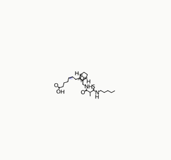 CCCCCNC(=S)C(C)C(=O)NC[C@H]1[C@@H](C/C=C\CCCC(=O)O)[C@H]2CC[C@@H]1O2